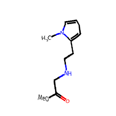 COC(=O)CNCCc1cccn1C